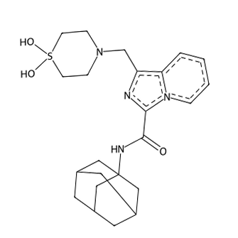 O=C(NC12CC3CC(CC(C3)C1)C2)c1nc(CN2CCS(O)(O)CC2)c2ccccn12